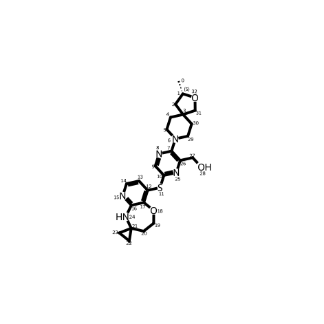 C[C@H]1CC2(CCN(c3ncc(Sc4ccnc5c4OCCC4(CC4)N5)nc3CO)CC2)CO1